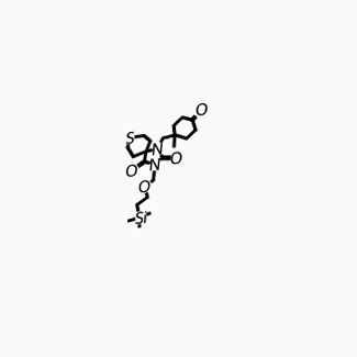 CC1(CN2C(=O)N(COCC[Si](C)(C)C)C(=O)C23CCSCC3)CCC(=O)CC1